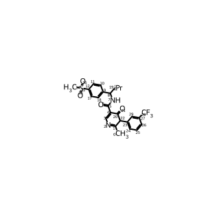 CC1=NC=C(C(=O)NC(c2ccc(S(C)(=O)=O)cc2)C(C)C)C(=O)C1c1cccc(C(F)(F)F)c1